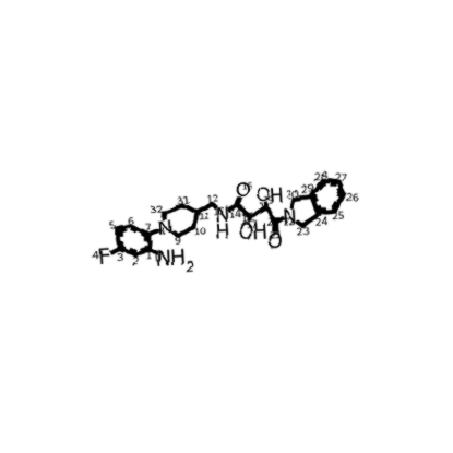 Nc1cc(F)ccc1N1CCC(CNC(=O)C(O)C(O)C(=O)N2Cc3ccccc3C2)CC1